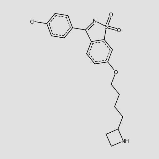 O=S1(=O)N=C(c2ccc(Cl)cc2)c2ccc(OCCCCC3CCN3)cc21